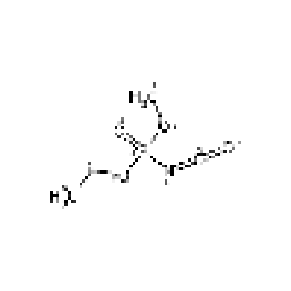 CCOP(=O)(N=C=O)OC